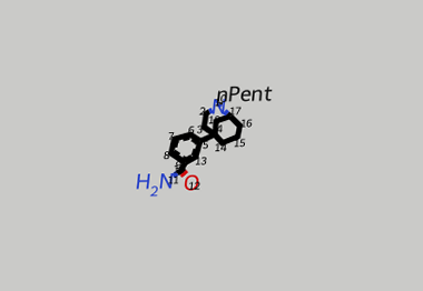 CCCCCN1CCC2(c3cccc(C(N)=O)c3)CCCC1C2